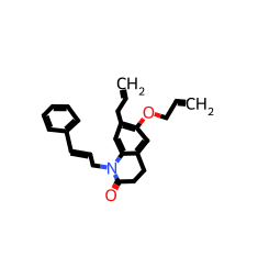 C=CCOc1cc2c(cc1CC=C)N(CC=Cc1ccccc1)C(=O)CC2